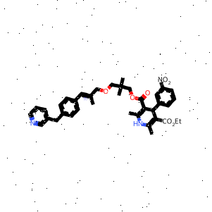 CCOC(=O)C1=C(C)NC(C)=C(C(=O)OCC(C)(C)COC/C(C)=C/c2ccc(Cc3cccnc3)cc2)C1c1cccc([N+](=O)[O-])c1